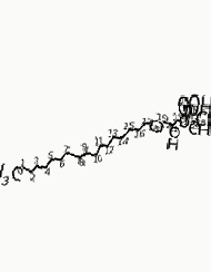 CCCCCCCCCCCCCCCCCCOCC(O)COP(=O)(O)C(C)C